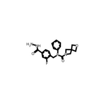 NNC(=O)c1ccc(CN(C(=O)N2CC3(COC3)C2)c2ccccc2)c(F)c1